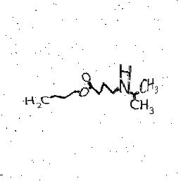 [CH2]CCCOC(=O)CCCNC(C)C